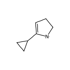 C1=C(C2CC2)[N]CC1